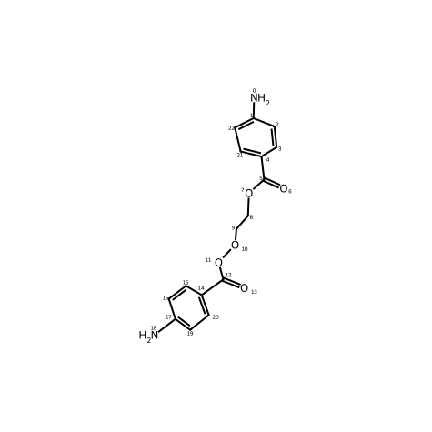 Nc1ccc(C(=O)OCCOOC(=O)c2ccc(N)cc2)cc1